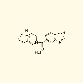 Cl.O=C(c1ccc2[nH]nnc2c1)N1C=C2C=NC[C@H]2CC1